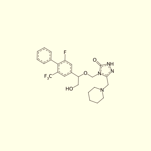 O=c1[nH]nc(CN2CCCCC2)n1COC(CO)c1cc(F)c(-c2ccccc2)c(C(F)(F)F)c1